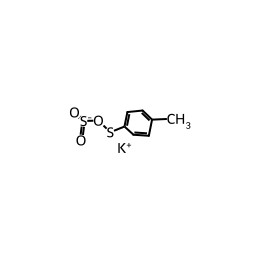 Cc1ccc(SO[S-](=O)=O)cc1.[K+]